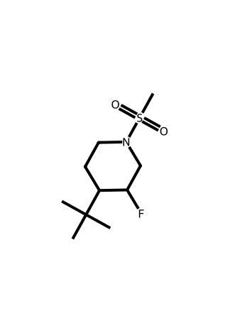 CC(C)(C)C1CCN(S(C)(=O)=O)CC1F